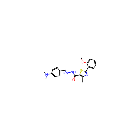 COc1ccccc1-c1nc(C)c(C(=O)N/N=C/c2ccc(N(C)C)cc2)s1